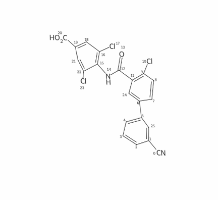 N#Cc1cccc(-c2ccc(Cl)c(C(=O)Nc3c(Cl)cc(C(=O)O)cc3Cl)c2)c1